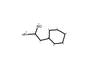 CCCC(CC1CCCCC1)N=O